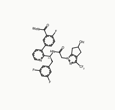 CNC(=O)c1cc(-c2cccnc2[C@H](Cc2cc(F)cc(F)c2)NC(=O)Cn2nc(C(F)(F)F)c3c2CC(O)C3)ccc1F